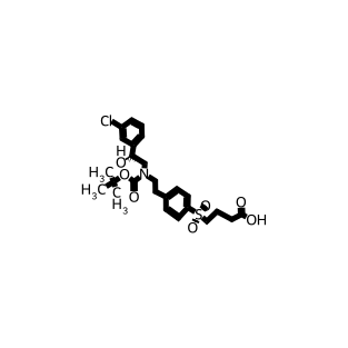 CC(C)(C)OC(=O)N(CCc1ccc(S(=O)(=O)CCCC(=O)O)cc1)C[C@H](O)c1cccc(Cl)c1